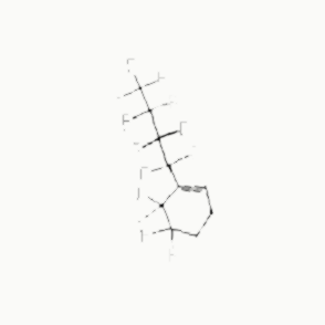 FC(F)(F)C(F)(F)C(F)(F)C(F)(F)C1=CCCC(F)(F)C1(F)F